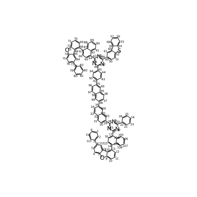 c1ccc(-c2ccc3oc4cccc(-c5ccc(-c6nc(-c7ccccc7)nc(-c7ccc8ccc(-c9ccc%10cc(-c%11ccc(-c%12nc(-c%13ccc%14sc%15ccccc%15c%14c%13)nc(-c%13ccc(-c%14cccc%15oc%16ccc(-c%17ccccc%17)cc%16c%14%15)c%14ccccc%13%14)n%12)cc%11)ccc%10c9)cc8c7)n6)c6ccccc56)c4c3c2)cc1